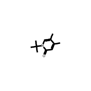 Cc1cc(=O)n(C(C)(C)C)cc1C